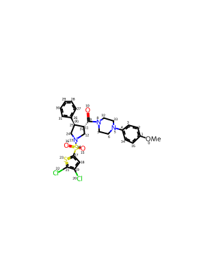 COc1ccc(N2CCN(C(=O)[C@@H]3CN(S(=O)(=O)c4cc(Cl)c(Cl)s4)C[C@H]3c3ccccc3)CC2)cc1